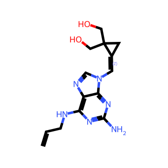 C=CCNc1nc(N)nc2c1ncn2/C=C1/CC1(CO)CO